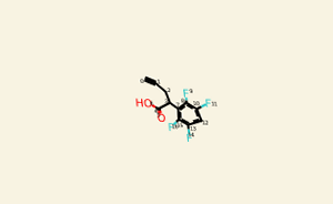 C#CCC(C(=O)O)c1c(F)c(F)cc(F)c1F